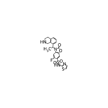 CC(c1cccc2c1CNCC2)n1c(=O)oc2cc(S(=O)(=O)Nc3nccs3)c(F)cc21